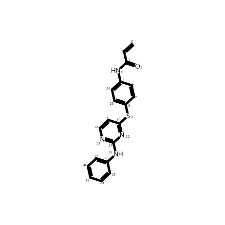 C=CC(=O)Nc1ccc(Sc2ccnc(Nc3ccccc3)n2)cc1